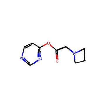 O=C(CN1CCC1)Oc1ccncn1